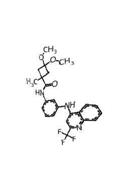 COC1(OC)CC(C)(C(=O)Nc2cccc(Nc3cc(C(F)(F)F)nc4ccccc34)c2)C1